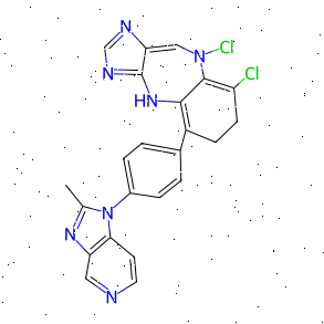 Cc1nc2cnccc2n1-c1ccc(C2=C3NC4=NC=NC4=CN(Cl)C3=C(Cl)CC2)cc1